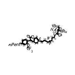 CCCCCc1ccc(-c2cc3ccc(SCCCC(F)(F)CCCOC(=O)C(C)(CC(C)(C)C)C(C)(C)C)cc3oc2=O)c(OC(F)(F)F)c1